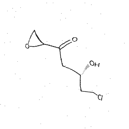 O=C(C[C@H](O)CCl)C1CO1